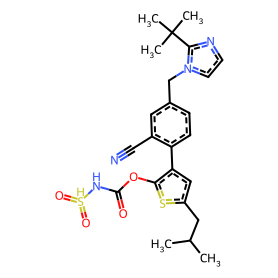 CC(C)Cc1cc(-c2ccc(Cn3ccnc3C(C)(C)C)cc2C#N)c(OC(=O)N[SH](=O)=O)s1